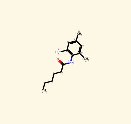 CCCCCC(=O)Nc1c(C)cc(C)cc1C